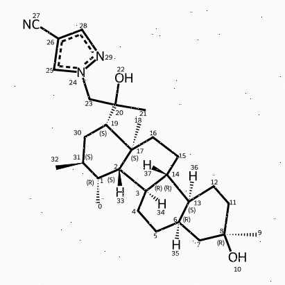 C[C@H]1[C@H]2[C@@H]3CC[C@@H]4C[C@](C)(O)CC[C@@H]4[C@H]3CC[C@]2(C)[C@@H](C(C)(O)Cn2cc(C#N)cn2)C[C@@H]1C